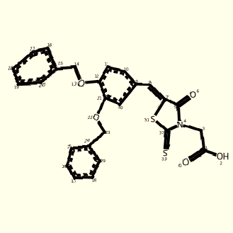 O=C(O)CN1C(=O)C(=Cc2ccc(OCc3ccccc3)c(OCc3ccccc3)c2)SC1=S